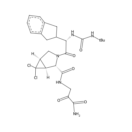 CC(C)(C)NC(=O)N[C@H](C(=O)N1C[C@H]2[C@@H]([C@H]1C(=O)NCC(=O)C(N)=O)C2(Cl)Cl)C1Cc2ccccc2C1